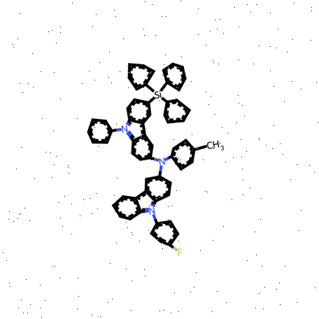 Cc1ccc(N(c2ccc3c(c2)c2ccccc2n3-c2ccc(F)cc2)c2ccc3c(c2)c2cc([Si](c4ccccc4)(c4ccccc4)c4ccccc4)ccc2n3-c2ccccc2)cc1